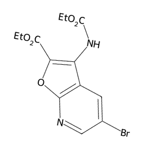 CCOC(=O)Nc1c(C(=O)OCC)oc2ncc(Br)cc12